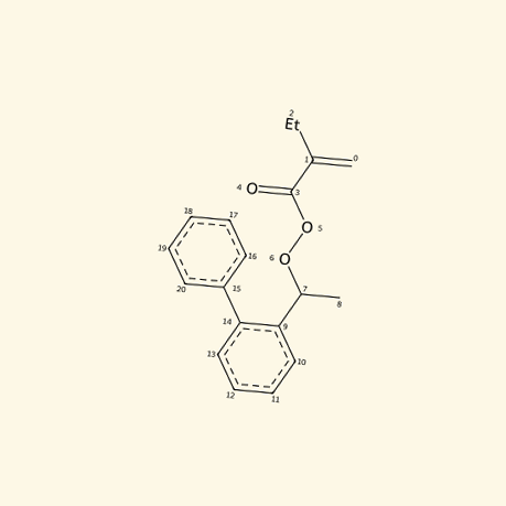 C=C(CC)C(=O)OOC(C)c1ccccc1-c1ccccc1